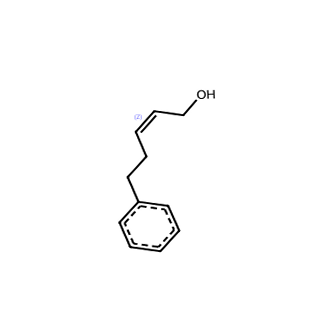 OC/C=C\CCc1ccccc1